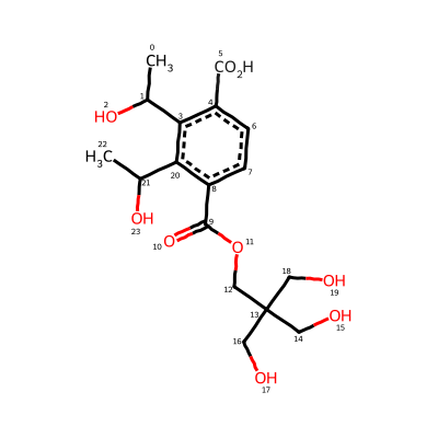 CC(O)c1c(C(=O)O)ccc(C(=O)OCC(CO)(CO)CO)c1C(C)O